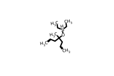 C=CCC(C)(CC=C)O[SiH](CC)CC